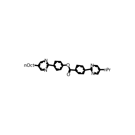 CCCCCCCCc1cnc(-c2ccc(OC(=O)c3ccc(-c4ncc(CCC)cn4)cc3)cc2)nc1